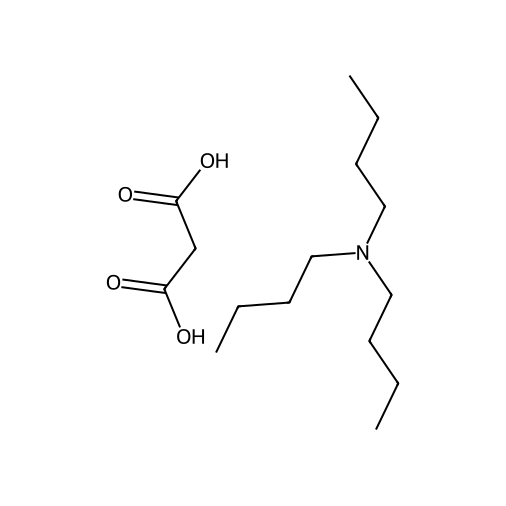 CCCCN(CCCC)CCCC.O=C(O)CC(=O)O